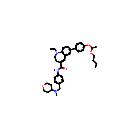 CCCCOC(C)Oc1ccc(-c2ccc3c(c2)C=C(C(=O)Nc2ccc(CN(C)C4CCOCC4)cc2)CCN3CC)cc1